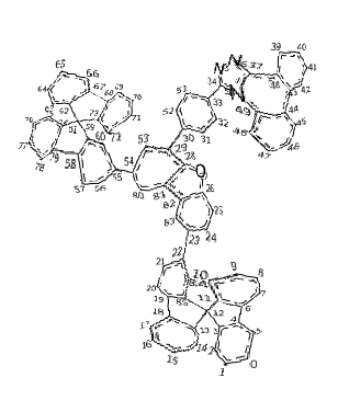 c1ccc2c(c1)-c1ccccc1C21c2ccccc2-c2ccc(-c3ccc4oc5c(-c6ccc(-c7nnc8c9ccccc9c9ccccc9n78)cc6)cc(-c6ccc7c(c6)C6(c8ccccc8-c8ccccc86)c6ccccc6-7)cc5c4c3)cc21